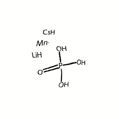 O=P(O)(O)O.[CsH].[LiH].[Mn]